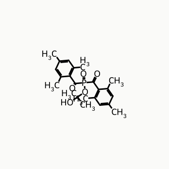 Cc1cc(C)c(C(=O)P(=O)(OC(C)(C)O)C(=O)c2c(C)cc(C)cc2C)c(C)c1